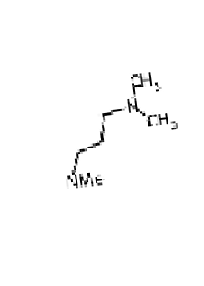 CNCC[CH]N(C)C